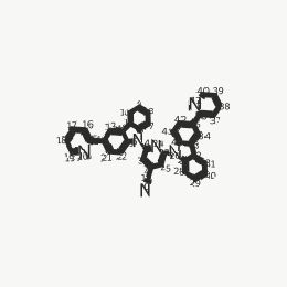 N#Cc1cc(-n2c3ccccc3c3cc(-c4ccccn4)ccc32)nc(-n2c3ccccc3c3cc(-c4ccccn4)ccc32)c1